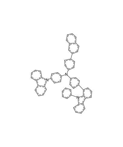 c1ccc(-n2c3ccccc3c3cccc(-c4ccc(N(c5ccc(-c6ccc7ccccc7c6)cc5)c5ccc(-n6c7ccccc7c7ccccc76)cc5)cc4)c32)cc1